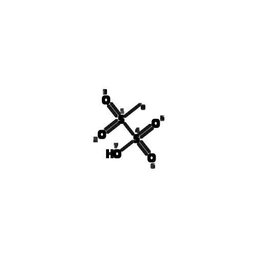 CS(=O)(=O)S(=O)(=O)O